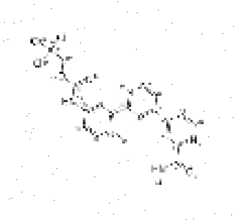 CNC(=O)c1cc(-c2cnnc(-c3cc(NC(=O)OCC(Cl)(Cl)Cl)ccc3C)c2)ccn1